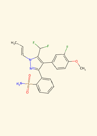 CC=Cn1nc(-c2ccccc2S(N)(=O)=O)c(-c2ccc(OC)c(F)c2)c1C(F)F